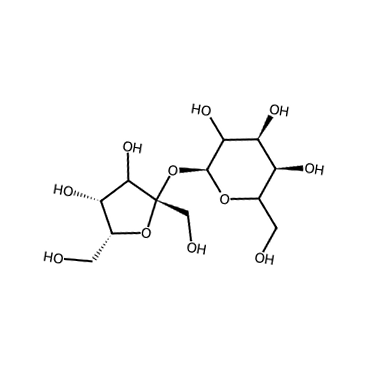 OCC1O[C@@H](O[C@]2(CO)O[C@H](CO)[C@H](O)C2O)C(O)[C@@H](O)[C@H]1O